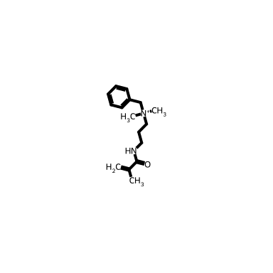 C=C(C)C(=O)NCCC[N+](C)(C)Cc1ccccc1